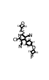 N#Cc1c(Cl)nc(SCC2COC2)c(C#N)c1-c1ccc(O[C@H]2C[C@@H](F)C2)cc1